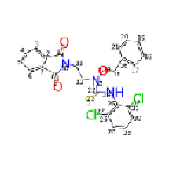 O=C1c2ccccc2C(=O)N1CCN(OCc1ccccc1)C(=S)Nc1c(Cl)cccc1Cl